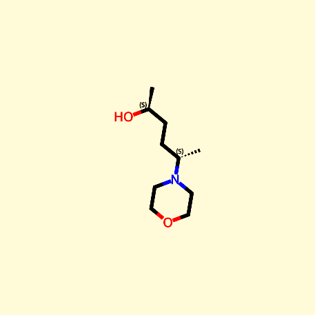 C[C@H](O)CC[C@H](C)N1CCOCC1